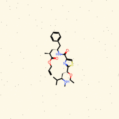 C=CCOC(=O)[C@@H](C)C[C@H](Cc1ccccc1)NC(=O)c1csc([C@@H](C[C@@H](NC)C(C)C)OCC)n1